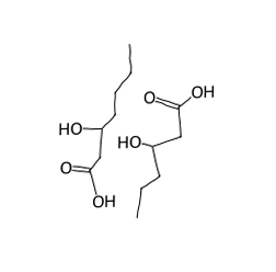 CCCC(O)CC(=O)O.CCCCC(O)CC(=O)O